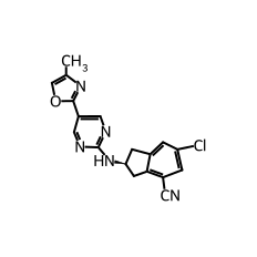 Cc1coc(-c2cnc(N[C@H]3Cc4cc(Cl)cc(C#N)c4C3)nc2)n1